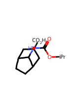 CC(C)OC(=O)NC1C2CCC1CC(C(=O)O)C2